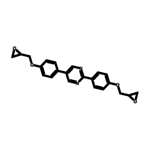 c1cc(-c2cnc(-c3ccc(OCC4CO4)cc3)nc2)ccc1OCC1CO1